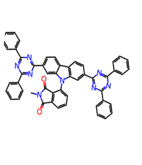 CN1C(=O)c2cccc(-n3c4cc(-c5nc(-c6ccccc6)nc(-c6ccccc6)n5)ccc4c4ccc(-c5nc(-c6ccccc6)nc(-c6ccccc6)n5)cc43)c2C1=O